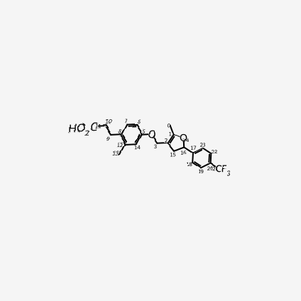 CC1=C(COc2ccc(CCC(=O)O)c(C)c2)CC(c2ccc(C(F)(F)F)cc2)O1